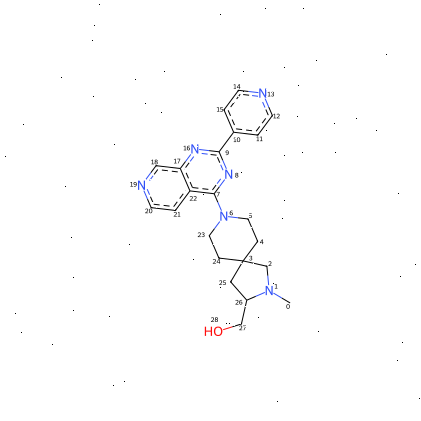 CN1CC2(CCN(c3nc(-c4ccncc4)nc4cnccc34)CC2)CC1CO